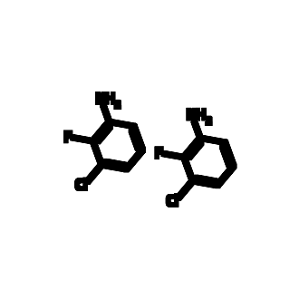 Nc1cccc(Cl)c1F.Nc1cccc(Cl)c1F